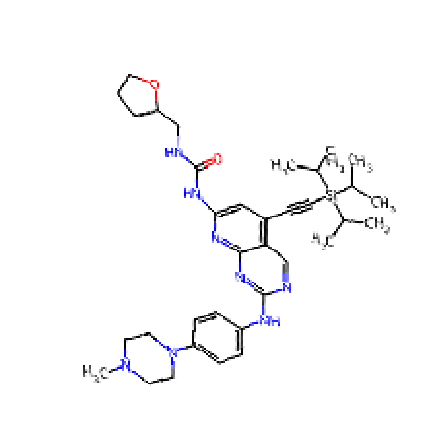 CC(C)[Si](C#Cc1cc(NC(=O)NCC2CCCO2)nc2nc(Nc3ccc(N4CCN(C)CC4)cc3)ncc12)(C(C)C)C(C)C